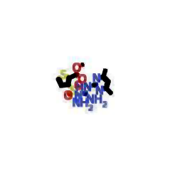 COC(=O)c1sccc1S(=O)(=O)[N+](N)=C(N)Nc1nc(C)cc(C)n1